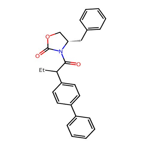 CCC(C(=O)N1C(=O)OC[C@@H]1Cc1ccccc1)c1ccc(-c2ccccc2)cc1